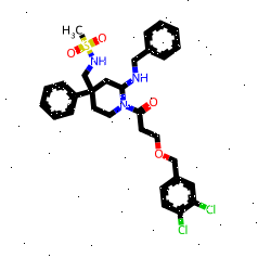 CS(=O)(=O)NCC1(c2ccccc2)CCN(C(=O)CCOCc2ccc(Cl)c(Cl)c2)C(NCc2ccccc2)C1